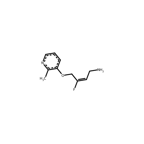 Cc1ncccc1OC/C(F)=C\CN